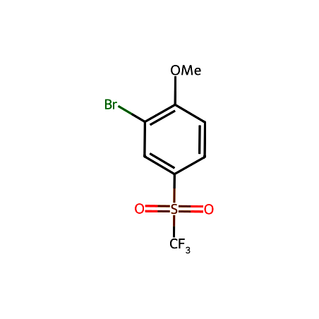 COc1ccc(S(=O)(=O)C(F)(F)F)cc1Br